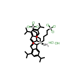 CC1=Cc2c(C(C)C)cc(C(C)C)cc2[CH]1[Zr](=[SiH2])([CH2]CCC[Si](Cl)(Cl)Cl)([CH2]CCC[Si](Cl)(Cl)Cl)[CH]1C(C)=Cc2c(C(C)C)cc(C(C)C)cc21.Cl.Cl